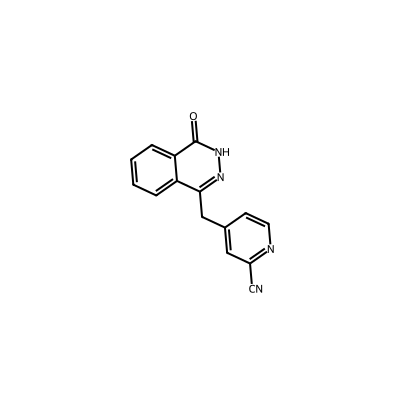 N#Cc1cc(Cc2n[nH]c(=O)c3ccccc23)ccn1